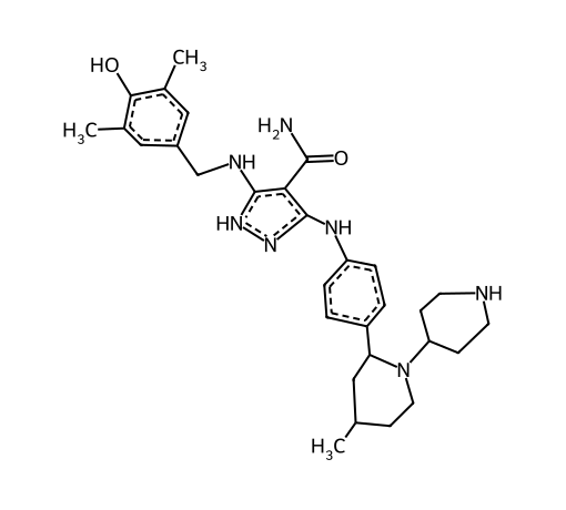 Cc1cc(CNc2[nH]nc(Nc3ccc(C4CC(C)CCN4C4CCNCC4)cc3)c2C(N)=O)cc(C)c1O